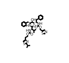 CC(C)c1nc(CCOC(=O)N[C@H](C(=O)N[C@@H](Cc2ccccc2)[C@@H](O)C[C@H](Cc2ccccc2)NC(=O)OCc2cncs2)C(C)C)cs1